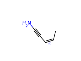 C/C=C\C#CN